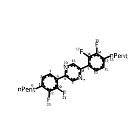 CCCCCc1ccc(-c2cnc(-c3ccc(CCCCC)c(F)c3F)cn2)c(F)c1F